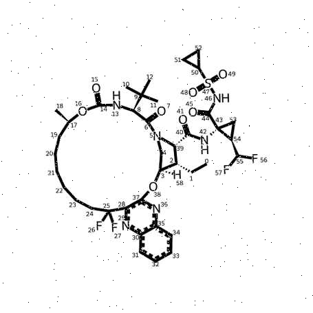 CC[C@@H]1[C@@H]2CN(C(=O)[C@H](C(C)(C)C)NC(=O)O[C@H](C)CCCCCCC(F)(F)c3nc4ccccc4nc3O2)[C@@H]1C(=O)N[C@]1(C(=O)NS(=O)(=O)C2CC2)C[C@H]1C(F)F